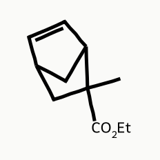 CCOC(=O)C1(C)CC2C=CC1C2